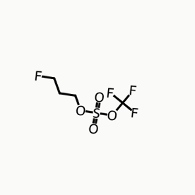 O=S(=O)(OCCCF)OC(F)(F)F